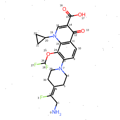 NCC(F)=C1CCN(c2ccc3c(=O)c(C(=O)O)cn(C4CC4)c3c2OC(F)F)CC1